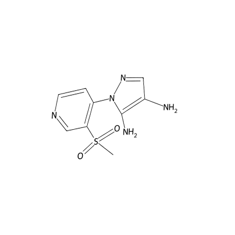 CS(=O)(=O)c1cnccc1-n1ncc(N)c1N